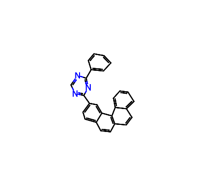 c1ccc(-c2ncnc(-c3ccc4ccc5ccc6ccccc6c5c4c3)n2)cc1